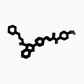 CN1CCC(NC(=O)/C=C/c2ccc(-c3cc(NCCCN4CCCCC4)c4cnccc4n3)cc2)CC1